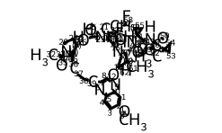 COc1ccc2nc3c(nc2c1)O[C@H]1CN(C(=O)[C@H](C(C)(C)C)NC(=O)O[C@@H]2CCN(C(C)=O)[C@H]2CCCCC3)[C@H](C(=O)NC2(C(=O)NS(=O)(=O)C3(C)CC3)C[C@H]2C(F)F)[C@@H]1C